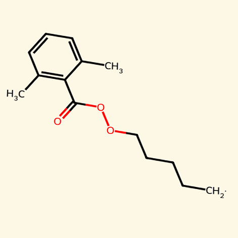 [CH2]CCCCOOC(=O)c1c(C)cccc1C